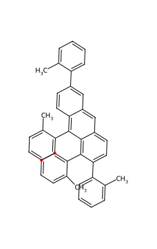 Cc1ccccc1-c1ccc2c(-c3ccccc3C)c3c(-c4ccccc4C)c(-c4ccccc4C)ccc3cc2c1